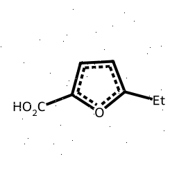 CCc1ccc(C(=O)O)o1